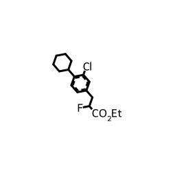 CCOC(=O)C(F)Cc1ccc(C2CCCCC2)c(Cl)c1